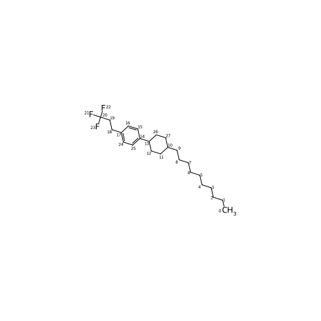 CCCCCCCCCCC1CCC(c2ccc(CCC(F)(F)F)cc2)CC1